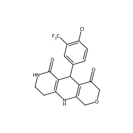 O=C1COCC2=C1C(c1ccc(Cl)c(C(F)(F)F)c1)C1=C(CCNC1=O)N2